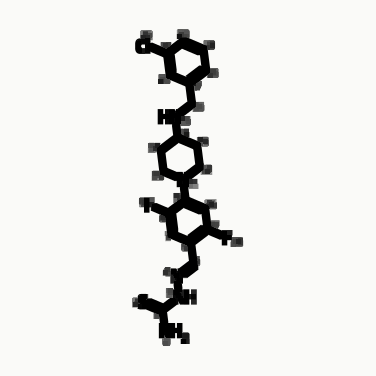 NC(=S)NN=Cc1cc(F)c(N2CCC(NCc3cccc(Cl)c3)CC2)cc1F